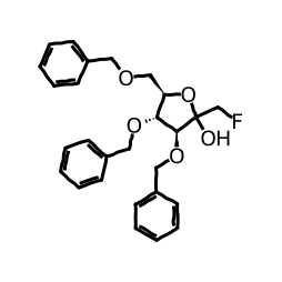 OC1(CF)O[C@H](COCc2ccccc2)[C@@H](OCc2ccccc2)[C@@H]1OCc1ccccc1